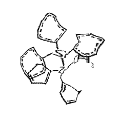 [CH3][Zr]([C]1=CC=CC1)([C]1=CC=CC1)[Si](c1ccccc1)(c1ccccc1)c1ccccc1